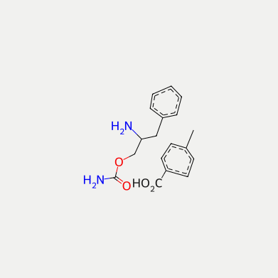 Cc1ccc(C(=O)O)cc1.NC(=O)OCC(N)Cc1ccccc1